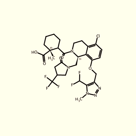 Cn1nnc(COc2ccc(Cl)c3c2[C@@H](CN2CC(C(F)(F)F)CC2=O)N(C(=O)C2CCCC[C@@]2(C)C(=O)O)CC3)c1C(F)F